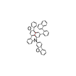 c1cc(-c2ccccc2-c2cccc3ccccc23)cc(N(c2ccc3c(c2)oc2ccccc23)c2ccccc2-c2ccc3c(c2)oc2ccccc23)c1